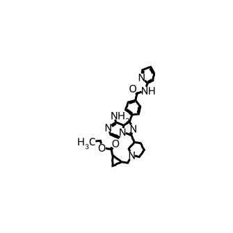 CCOC(=O)C1CC1CN1CCCC(C2=NC(c3ccc(C(=O)Nc4ccccn4)cc3)C3C(N)=NC=CN23)C1